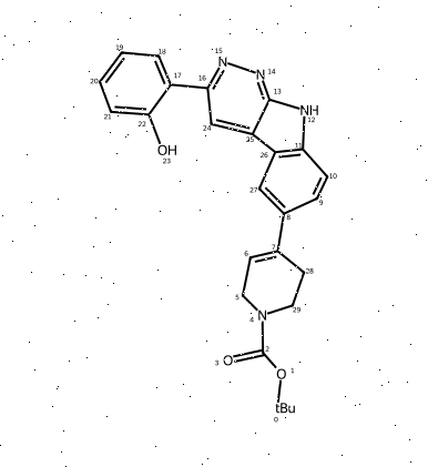 CC(C)(C)OC(=O)N1CC=C(c2ccc3[nH]c4nnc(-c5ccccc5O)cc4c3c2)CC1